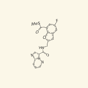 CSC(=O)c1cc(F)cc2cc(CNC(=O)c3cnc4cccnn34)oc12